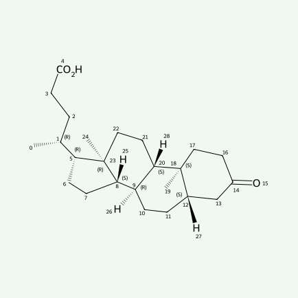 C[C@H](CCC(=O)O)[C@H]1CC[C@H]2[C@@H]3CC[C@H]4CC(=O)CC[C@]4(C)[C@H]3CC[C@]12C